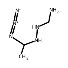 CC(N=[N+]=[N-])NNCN